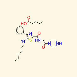 CCCCC(=O)O.CCCCCCN(C)c1sc(C(=O)NCC(=O)N2CCNCC2)nc1-c1ccccc1